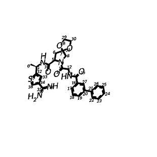 C[C@@H](NC(=O)C1CC2(CN1C(=O)CNC(=O)c1cccc(-c3ccccc3)c1)OCCO2)c1cc(C(=N)N)cs1